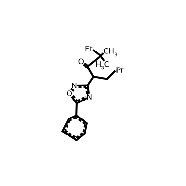 CCC(C)(C)C(=O)C(CC(C)C)c1noc(-c2ccccc2)n1